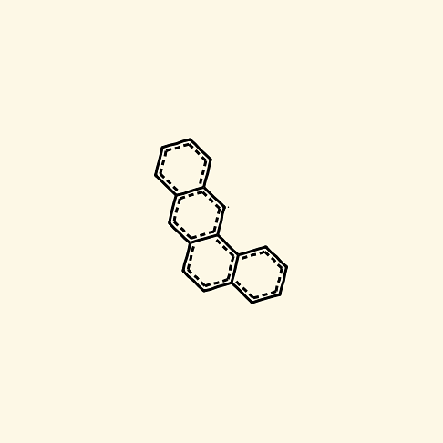 [c]1c2ccccc2cc2ccc3ccccc3c12